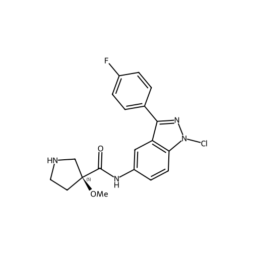 CO[C@@]1(C(=O)Nc2ccc3c(c2)c(-c2ccc(F)cc2)nn3Cl)CCNC1